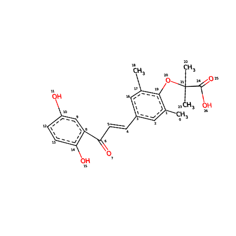 Cc1cc(/C=C/C(=O)c2cc(O)ccc2O)cc(C)c1OC(C)(C)C(=O)O